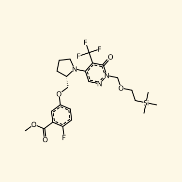 COC(=O)c1cc(OC[C@@H]2CCCN2c2cnn(COCC[Si](C)(C)C)c(=O)c2C(F)(F)F)ccc1F